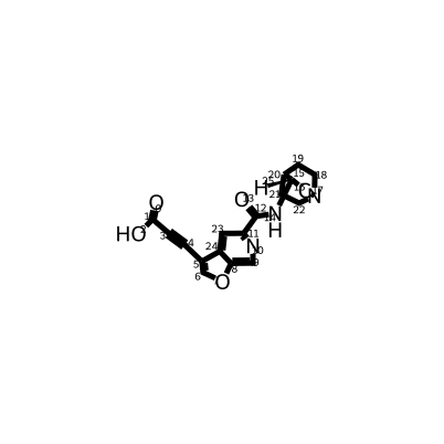 O=C(O)C#Cc1coc2cnc(C(=O)N[C@H]3CN4CCC3CC4)cc12